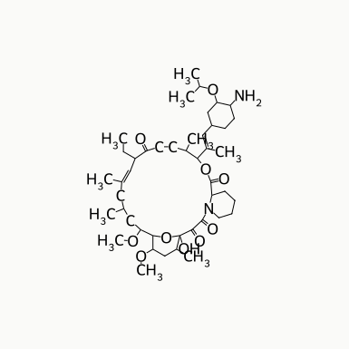 CCC1/C=C(\C)CC(C)CC(OC)C2OC(O)(C(=O)C(=O)N3CCCCC3C(=O)OC(C(C)=CC3CCC(N)C(OC(C)C)C3)C(C)CCC1=O)C(C)CC2OC